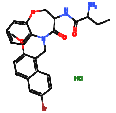 CCC(N)C(=O)NC1COc2ccccc2N(Cc2c(OC)ccc3cc(Br)ccc23)C1=O.Cl